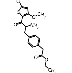 CCOC(=O)Cc1ccc(CC(N)C(=O)c2sc(Cl)cc2OC)cc1